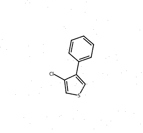 Clc1cs[c]c1-c1ccccc1